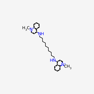 C[n+]1ccc(NCCCCCCCCCCNc2cc[n+](C)c3ccccc23)c2ccccc21